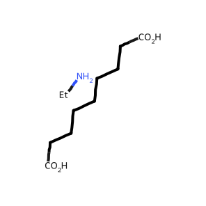 CCN.O=C(O)CCCCCCCC(=O)O